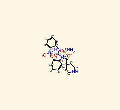 NS(=O)(=O)[N+]1(C(=O)Nc2ccccc2[N+](=O)[O-])CC2(CCNCC2)c2ccccc21